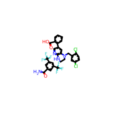 NC(=O)c1cc(C(F)(F)F)cc(C(F)(F)F)c1.O=C(O)c1ccccc1-c1cnc2c(c1)N(Cc1cc(Cl)ccc1Cl)CCN2